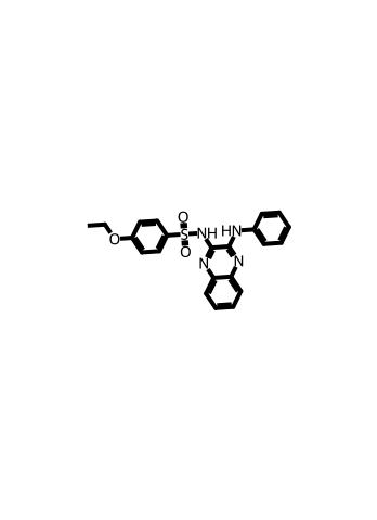 CCOc1ccc(S(=O)(=O)Nc2nc3ccccc3nc2Nc2ccccc2)cc1